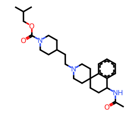 CC(=O)NC1CCC2(CCN(CCC3CCN(C(=O)OCC(C)C)CC3)CC2)c2ccccc21